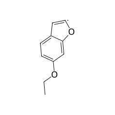 CCOc1ccc2c[c]oc2c1